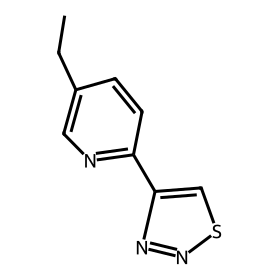 CCc1ccc(-c2csnn2)nc1